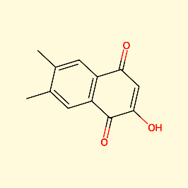 Cc1cc2c(cc1C)C(=O)C(O)=CC2=O